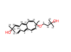 C=C/C=C1/C=CC(C)(OCCC(C)(C)O)C=C/C1=C/C=C/C(C)(C)O